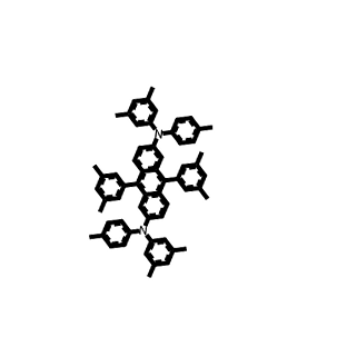 Cc1ccc(N(c2cc(C)cc(C)c2)c2ccc3c(-c4cc(C)cc(C)c4)c4cc(N(c5ccc(C)cc5)c5cc(C)cc(C)c5)ccc4c(-c4cc(C)cc(C)c4)c3c2)cc1